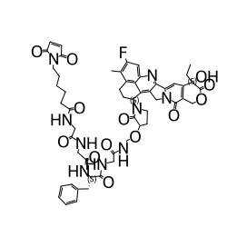 CC[C@@]1(O)C(=O)OCc2c1cc1n(c2=O)Cc2c-1nc1cc(F)c(C)c3c1c2[C@@H](N1CCC(OCNC(=O)CNC(=O)[C@H](Cc2ccccc2)NC(=O)CNC(=O)CNC(=O)CCCCCN2C(=O)C=CC2=O)C1=O)CC3